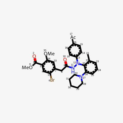 COC(=O)c1cc(Br)c(CC(=O)NN(c2ccc(C(C)=O)cc2)c2c(C)cccc2N2CCCCC2)cc1OC